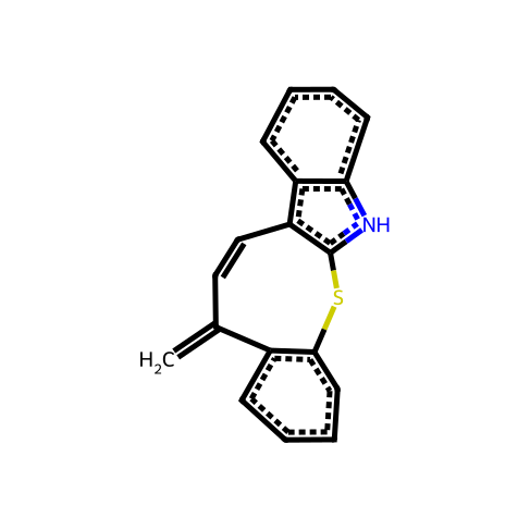 C=C1/C=C\c2c([nH]c3ccccc23)Sc2ccccc21